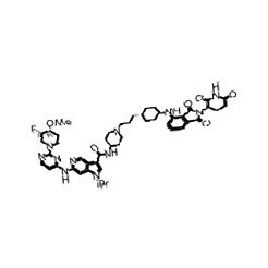 CO[C@@H]1CCN(c2nccc(Nc3cc4c(cn3)c(C(=O)NC3CCN(CCC[C@H]5CC[C@H](Nc6cccc7c6C(=O)N(C6CCC(=O)NC6=O)C7=O)CC5)CC3)cn4C(C)C)n2)C[C@@H]1F